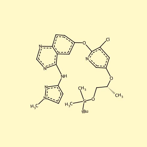 C[C@H](CO[Si](C)(C)C(C)(C)C)Oc1cnc(Oc2ccc3ncnc(Nc4ccn(C)n4)c3c2)c(Cl)c1